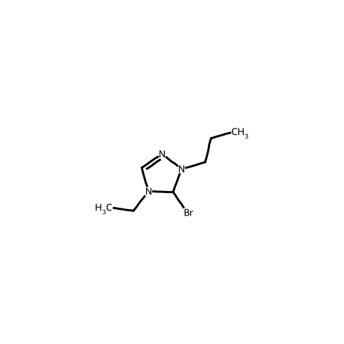 CCCN1N=CN(CC)C1Br